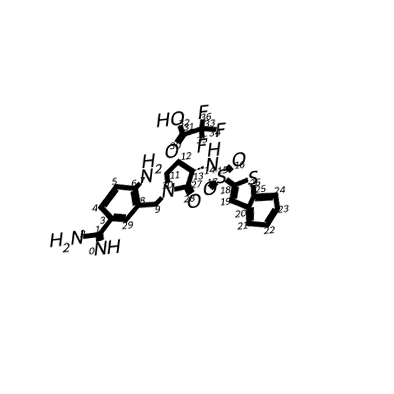 N=C(N)c1ccc(N)c(CN2CC[C@H](NS(=O)(=O)c3cc4ccccc4s3)C2=O)c1.O=C(O)C(F)(F)F